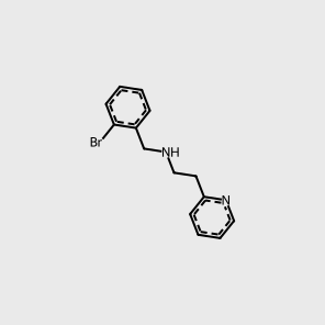 Brc1ccccc1CNCCc1ccccn1